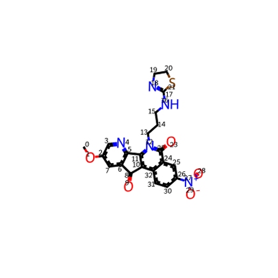 COc1cnc2c(c1)C(=O)c1c-2n(CCCNC2=NCCS2)c(=O)c2cc([N+](=O)[O-])ccc12